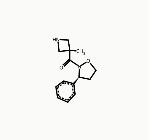 CC1(C(=O)N2OCC[C@H]2c2ccccc2)CNC1